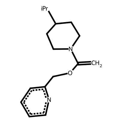 C=C(OCc1ccccn1)N1CCC(C(C)C)CC1